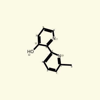 Cc1cccc(-c2ncccc2O)n1